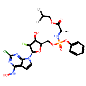 CCC(CC)COC(=O)[C@H](C)NP(=O)(OC[C@H]1O[C@@H](n2ccc3c(NO)nc(Cl)nc32)C(F)C1O)Oc1ccccc1